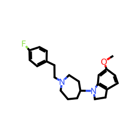 COc1ccc2c(c1)N(C1CCCN(CCc3ccc(F)cc3)CC1)CC2